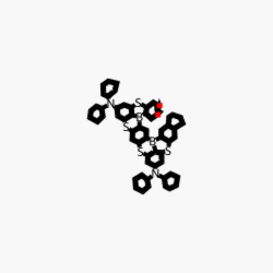 c1ccc(N(c2ccccc2)c2cc3c4c(c2)Sc2cc5ccccc5cc2B4c2cc4c(cc2S3)Sc2cc(N(c3ccccc3)c3ccccc3)cc3c2B4c2cc4ccccc4cc2S3)cc1